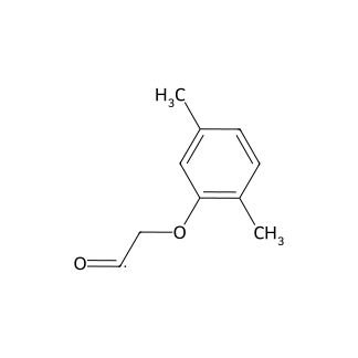 Cc1ccc(C)c(OC[C]=O)c1